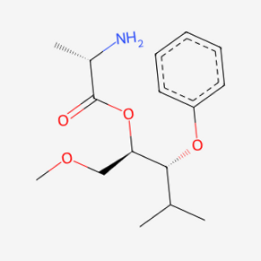 COC[C@@H](OC(=O)[C@H](C)N)[C@H](Oc1ccccc1)C(C)C